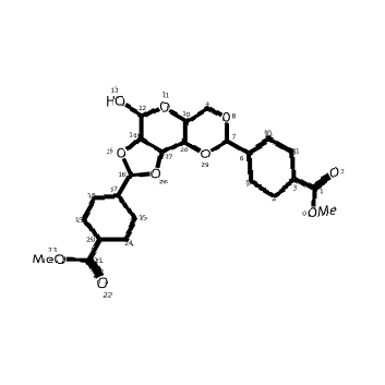 COC(=O)C1CCC(C2OCC3OC(O)C4OC(C5CCC(C(=O)OC)CC5)OC4C3O2)CC1